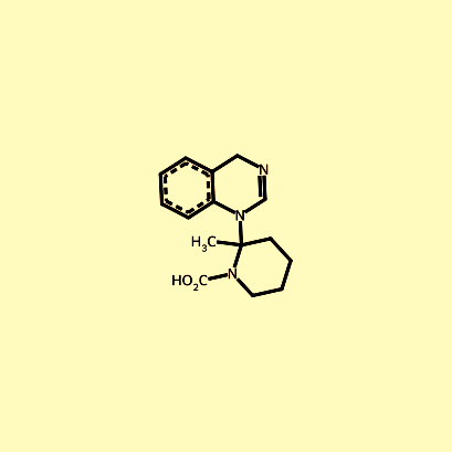 CC1(N2C=NCc3ccccc32)CCCCN1C(=O)O